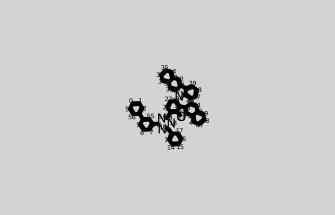 c1ccc(-c2cccc(-c3nc(-c4ccccc4)nc(-c4ccc(-n5c6ccccc6c6cc7ccccc7cc65)c5c4oc4c6ccccc6ccc45)n3)c2)cc1